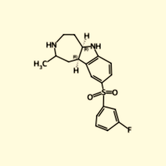 CC1C[C@@H]2c3cc(S(=O)(=O)c4cccc(F)c4)ccc3N[C@@H]2CCN1